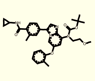 COCCN(C(=O)OC(C)(C)C)c1cc(Oc2ccccc2C)cn2c(-c3ccc(C(=O)NC4CC4)c(C)c3)cnc12